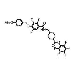 COc1ccc(COc2c(F)cc(C(=O)NCC3CCC(C(=O)Oc4c(F)c(F)c(F)c(F)c4F)CC3)c(F)c2F)cc1